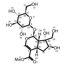 COC(=O)C1=CO[C@@H](O[C@@H]2O[C@H](CO)[C@@H](O)[C@H](O)[C@H]2O)[C@H]2[C@@H]1C[C@H](O)[C@]2(O)CO